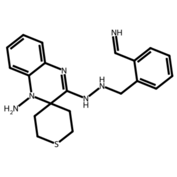 N=Cc1ccccc1CNNC1=Nc2ccccc2N(N)C12CCSCC2